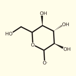 [O]C1OC(CO)[C@@H](O)[C@H](O)[C@H]1O